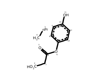 CCCC.O=C(O)CC(=O)Oc1ccc(O)cc1